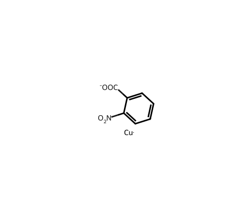 O=C([O-])c1ccccc1[N+](=O)[O-].[Cu]